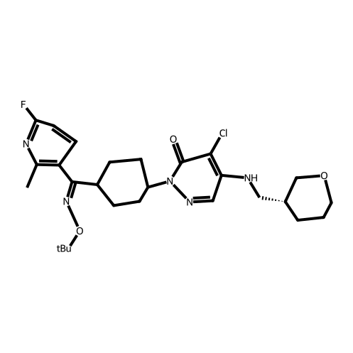 Cc1nc(F)ccc1/C(=N/OC(C)(C)C)C1CCC(n2ncc(NC[C@H]3CCCOC3)c(Cl)c2=O)CC1